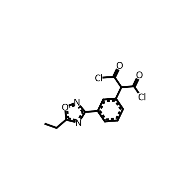 CCc1nc(-c2cccc(C(C(=O)Cl)C(=O)Cl)c2)no1